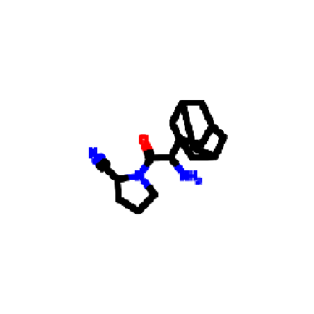 N#CC1CCCN1C(=O)C(N)C12CC3CC(CC(C3)C1)C2